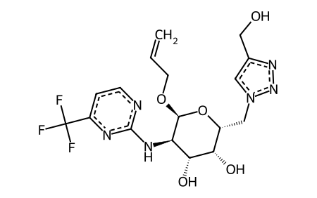 C=CCO[C@H]1O[C@H](Cn2cc(CO)nn2)[C@H](O)[C@H](O)[C@H]1Nc1nccc(C(F)(F)F)n1